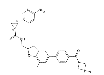 Cc1cc(-c2ccc(C(=O)N3CC(F)(F)C3)cc2)cc2c1OC(CNC(=O)[C@H]1C[C@@H]1c1ccc(N)nc1)C2